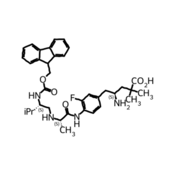 CC(C)[C@@H](CN[C@@H](C)C(=O)Nc1ccc(C[C@H](N)CC(C)(C)C(=O)O)cc1F)NC(=O)OCC1c2ccccc2-c2ccccc21